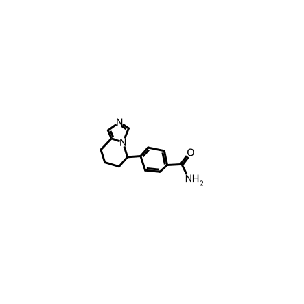 NC(=O)c1ccc(C2CCCc3cncn32)cc1